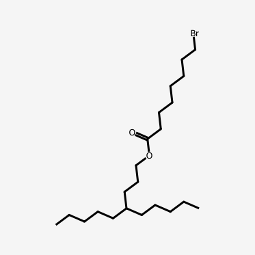 CCCCCC(CCCCC)CCCOC(=O)CCCCCCCBr